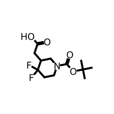 CC(C)(C)OC(=O)N1CCC(F)(F)C(CC(=O)O)C1